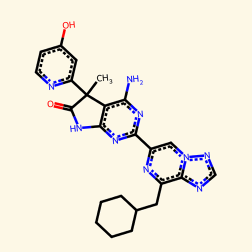 CC1(c2cc(O)ccn2)C(=O)Nc2nc(-c3cn4ncnc4c(CC4CCCCC4)n3)nc(N)c21